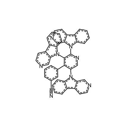 N#Cc1cccc(-c2c(-n3c4ccccc4c4ccncc43)cnc(-n3c4ccccc4c4ccncc43)c2-n2c3ccccc3c3ccncc32)c1